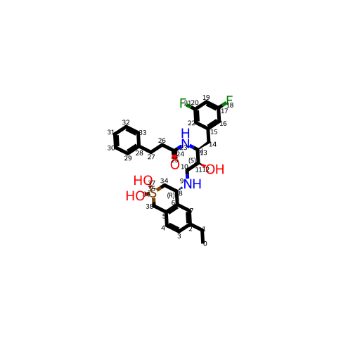 CCc1ccc2c(c1)[C@@H](NC[C@H](O)[C@H](Cc1cc(F)cc(F)c1)NC(=O)CCc1ccccc1)CS(O)(O)C2